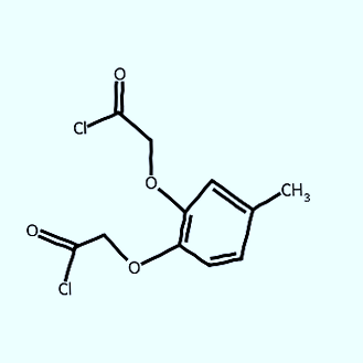 Cc1ccc(OCC(=O)Cl)c(OCC(=O)Cl)c1